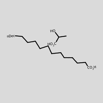 CC(O)C(=O)O.CCCCCCCCCCCCCCCCCCCCCC(=O)O